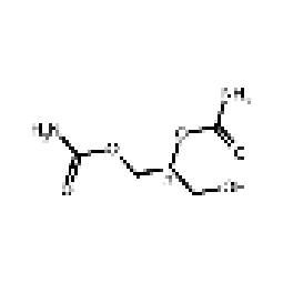 NC(=O)OC[C@H](CO)OC(N)=O